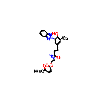 COC(=O)/C=C\C(=O)OCCNC(=O)CCc1cc(-n2nc3ccccc3n2)c(O)c(C(C)(C)C)c1